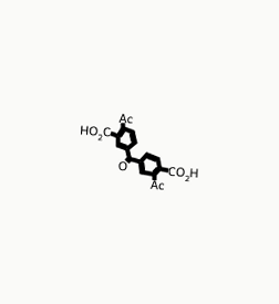 CC(=O)c1cc(C(=O)c2ccc(C(C)=O)c(C(=O)O)c2)ccc1C(=O)O